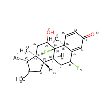 CC(=O)[C@H]1C(C)C[C@H]2[C@@H]3CC(F)C4=CC(=O)C=C[C@]4(C)[C@@]3(F)C(O)C[C@]12C